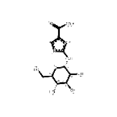 CCOC(=O)C(=O)c1cnc(N[C@H]2OC(CO)[C@@H](O)[C@H](O)C2O)s1